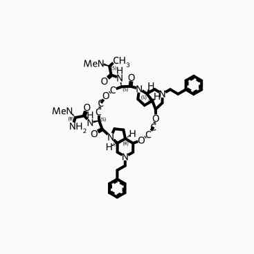 CN[C@@H](C)C(=O)N[C@H]1COCC[C@H](NC(=O)[C@H](N)NC)C(=O)N2CC[C@H]3C(CN(CCc4ccccc4)C[C@H]32)OCCOC2CN(CCc3ccccc3)C[C@@H]3[C@H]2CCN3C1=O